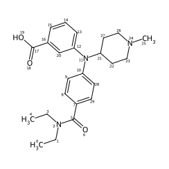 CCN(CC)C(=O)c1ccc(N(c2cccc(C(=O)O)c2)C2CCN(C)CC2)cc1